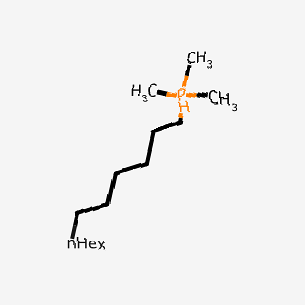 CCCCCCCCCCCC[PH](C)(C)C